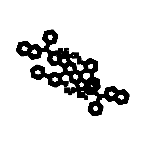 CC1(C)c2cc(N(c3ccccc3)c3ccc4ccccc4c3)ccc2-c2c1cc1c(-c3c(F)cccc3-c3ccccc3)c3c(cc1c2-c1cc(-c2ccccc2)ccc1F)C(C)(C)c1cc(N(c2ccccc2)c2ccc4ccccc4c2)ccc1-3